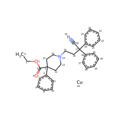 CCOC(=O)C1(c2ccccc2)CCN(CCC(C#N)(c2ccccc2)c2ccccc2)CC1.[Cu]